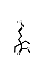 CCC(CC)(CCC=NO)C(=O)OC